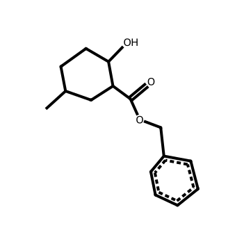 CC1CCC(O)C(C(=O)OCc2ccccc2)C1